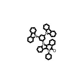 O=c1c2ccccc2c2c(c3ccccc3n2-c2cc(-n3c4ccccc4c4ccccc43)cc(-n3c4ccccc4c4ccccc43)c2)n1-c1ccccc1